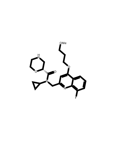 COCCCOc1cc(CN(C(=O)[C@H]2CNCCO2)C2CC2)nc2c(F)cccc12